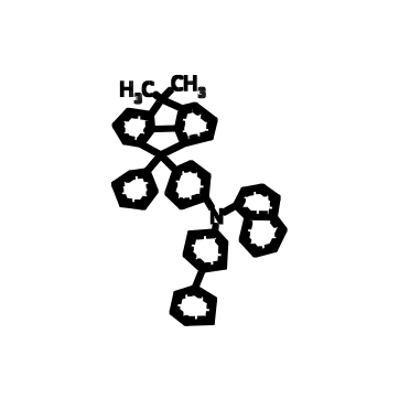 CC1(C)c2cccc3c2-c2c1cccc2C3(c1ccccc1)c1ccc(N(c2ccc(-c3ccccc3)cc2)c2cccc3ccccc23)cc1